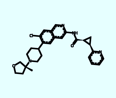 C[C@@]1(N2CCC(c3cc4cc(NC(=O)[C@@H]5C[C@H]5c5ccccn5)ncc4cc3Cl)CC2)CCOC1